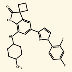 CN1CCC(Nc2cc(-c3ccn(-c4ccc(F)cc4F)n3)cc3c2NC(=O)C32CCC2)CC1